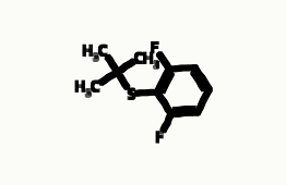 CC(C)(C)Sc1c(F)cccc1F